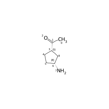 CC(=O)[C@H]1CC[C@@H](N)C1